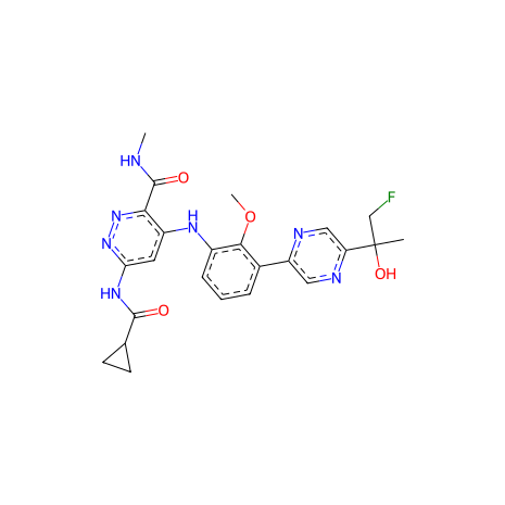 CNC(=O)c1nnc(NC(=O)C2CC2)cc1Nc1cccc(-c2cnc(C(C)(O)CF)cn2)c1OC